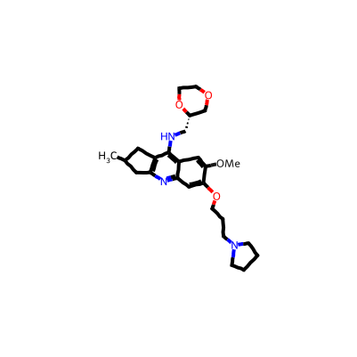 COc1cc2c(NC[C@H]3COCCO3)c3c(nc2cc1OCCCN1CCCC1)CC(C)C3